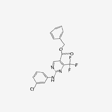 O=C(OCc1ccccc1)c1cnc(Nc2cccc(Cl)c2)nc1C(F)(F)F